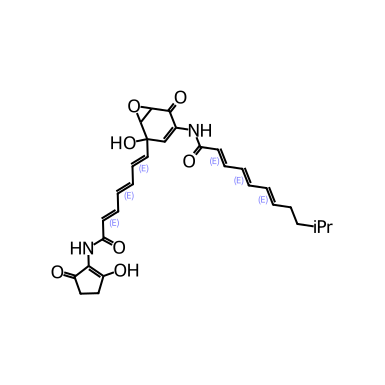 CC(C)CC/C=C/C=C/C=C/C(=O)NC1=CC(O)(/C=C/C=C/C=C/C(=O)NC2=C(O)CCC2=O)C2OC2C1=O